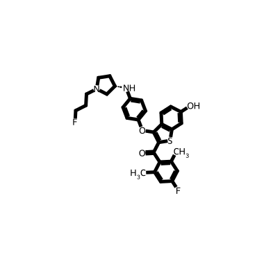 Cc1cc(F)cc(C)c1C(=O)c1sc2cc(O)ccc2c1Oc1ccc(N[C@H]2CCN(CCCF)C2)cc1